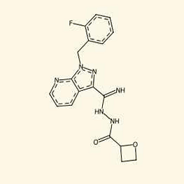 N=C(NNC(=O)C1CCO1)c1nn(Cc2ccccc2F)c2ncccc12